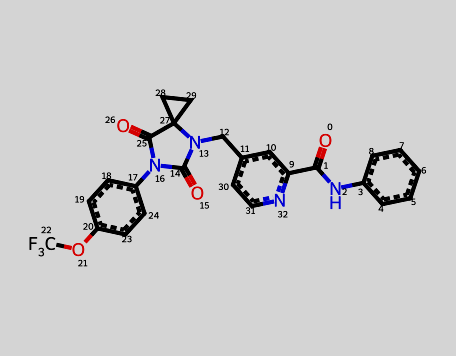 O=C(Nc1ccccc1)c1cc(CN2C(=O)N(c3ccc(OC(F)(F)F)cc3)C(=O)C23CC3)ccn1